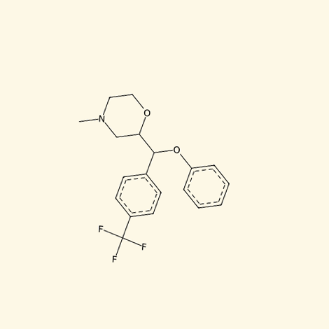 CN1CCOC(C(Oc2ccccc2)c2ccc(C(F)(F)F)cc2)C1